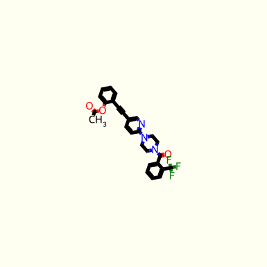 CC(=O)Oc1ccccc1C#Cc1ccc(N2CCN(C(=O)c3ccccc3C(F)(F)F)CC2)nc1